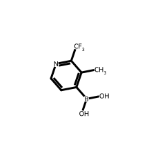 Cc1c(B(O)O)ccnc1C(F)(F)F